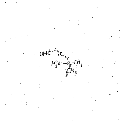 C[Si](C)(C)C=C=CC=O